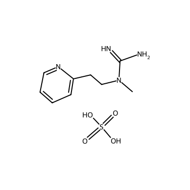 CN(CCc1ccccn1)C(=N)N.O=S(=O)(O)O